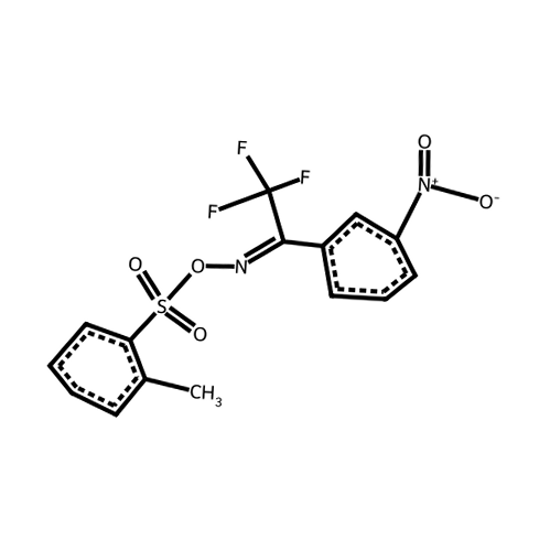 Cc1ccccc1S(=O)(=O)ON=C(c1cccc([N+](=O)[O-])c1)C(F)(F)F